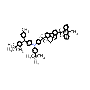 Cc1ccc(C(c2ccc(N(c3ccc(C(C)(C)C)cc3)c3ccc(C(C)(C)c4ccc5c6c4CCCC64CCCc6c(C(C)(C)c7c8ccccc8c(C)c8ccccc78)ccc-5c64)cc3)cc2)c2ccc(C(C)(C)C)cc2)cc1